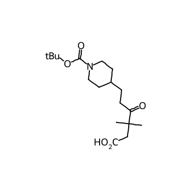 CC(C)(C)OC(=O)N1CCC(CCC(=O)C(C)(C)CC(=O)O)CC1